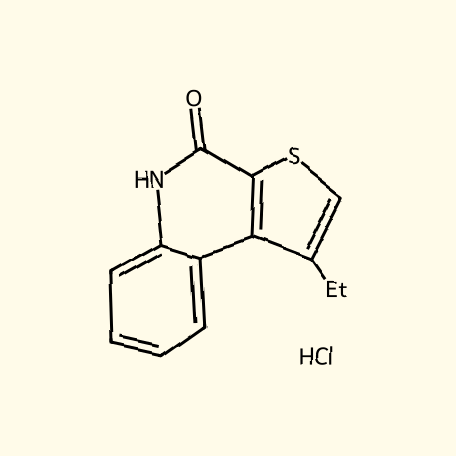 CCc1csc2c(=O)[nH]c3ccccc3c12.Cl